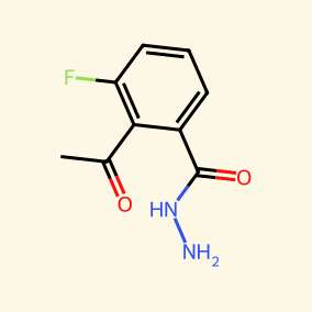 CC(=O)c1c(F)cccc1C(=O)NN